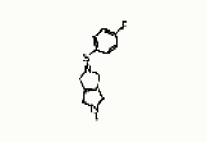 CN1CC2=C(C1)CN(Sc1ccc(F)cc1)C2